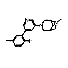 CN1CC2CC1CN(c1cncc(-c3cc(F)ccc3F)c1)C2